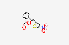 O=CC1OC(=Cc2cc([N+](=O)[O-])cs2)c2ccccc21